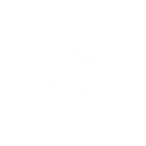 O=C(OC(CS(=O)(=O)O)C(F)(F)F)C1CC2C=CC1C2